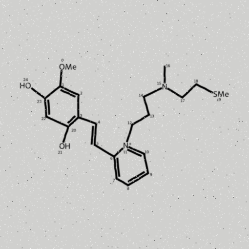 COc1cc(/C=C/c2cccc[n+]2CCCN(C)CCSC)c(O)cc1O